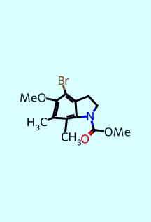 COC(=O)N1CCc2c(Br)c(OC)c(C)c(C)c21